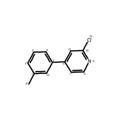 Cc1cccc(-c2ccnc(Cl)c2)c1